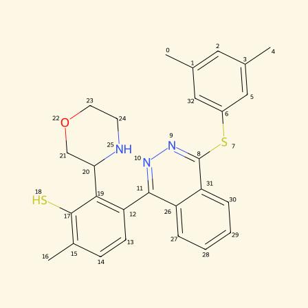 Cc1cc(C)cc(Sc2nnc(-c3ccc(C)c(S)c3C3COCCN3)c3ccccc23)c1